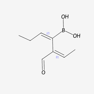 C/C=C(C=O)\C(=C/CC)B(O)O